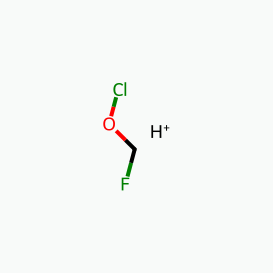 FCOCl.[H+]